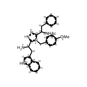 COc1ccc(Cn2c(C(N)Cc3c[nH]c4ccccc34)nnc2C(Cc2ccccc2)NC(C)=O)cc1